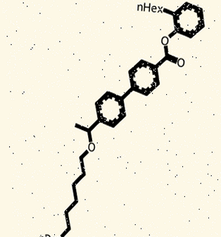 CCCCCCCCCCCCCCCCOC(C)c1ccc(-c2ccc(C(=O)Oc3ccccc3CCCCCC)cc2)cc1